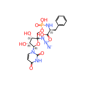 [N-]=[N+]=N[C@]1(COP(=O)(O)N[C@@H](Cc2ccccc2)C(=O)O)O[C@@H](n2ccc(=O)[nH]c2=O)[C@H](O)[C@@H]1O